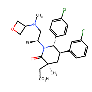 CC[C@@H](CN(C)C1COC1)N1C(=O)[C@](C)(CC(=O)O)C[C@H](c2cccc(Cl)c2)[C@H]1c1ccc(Cl)cc1